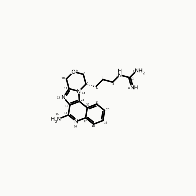 N=C(N)NCCC[C@H]1COCc2nc3c(N)nc4ccccc4c3n21